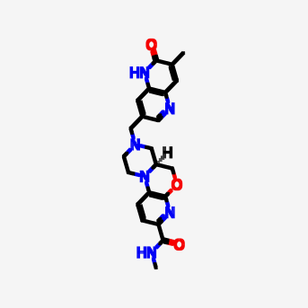 CNC(=O)c1ccc2c(n1)OC[C@@H]1CN(Cc3cnc4cc(C)c(=O)[nH]c4c3)CCN21